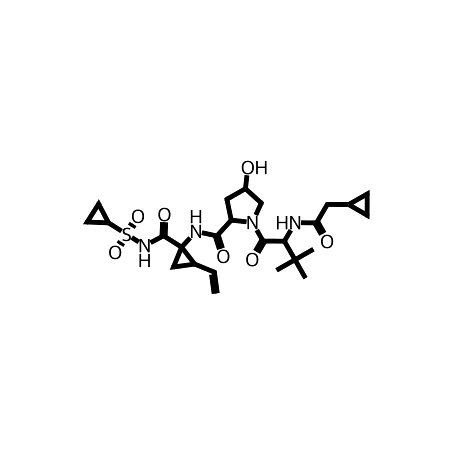 C=CC1CC1(NC(=O)C1CC(O)CN1C(=O)C(NC(=O)CC1CC1)C(C)(C)C)C(=O)NS(=O)(=O)C1CC1